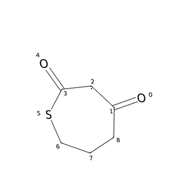 O=C1[CH]C(=O)SCCC1